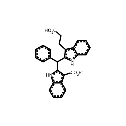 CCOC(=O)c1c(C(c2ccccc2)c2[nH]c3ccccc3c2CCC(=O)O)[nH]c2ccccc12